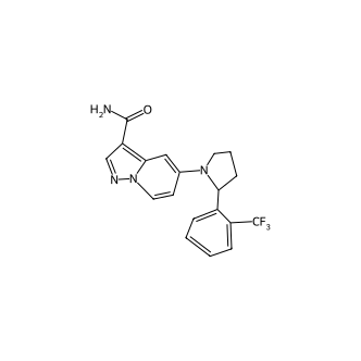 NC(=O)c1cnn2ccc(N3CCCC3c3ccccc3C(F)(F)F)cc12